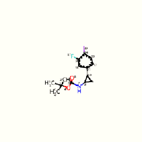 CC(C)(C)OC(=O)N[C@@H]1C[C@H]1c1ccc(I)c(F)c1